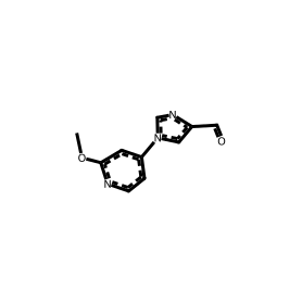 COc1cc(-n2cnc(C=O)c2)ccn1